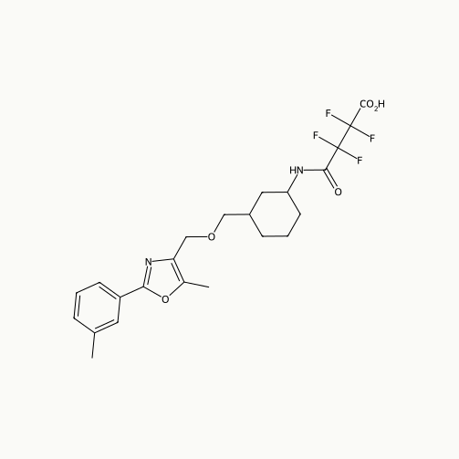 Cc1cccc(-c2nc(COCC3CCCC(NC(=O)C(F)(F)C(F)(F)C(=O)O)C3)c(C)o2)c1